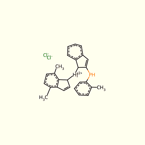 Cc1ccccc1PC1=Cc2ccccc2[CH]1[Hf+2][CH]1C=Cc2c(C)ccc(C)c21.[Cl-].[Cl-]